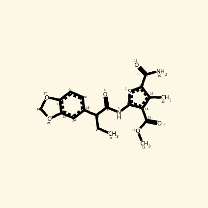 CCC(C(=O)Nc1sc(C(N)=O)c(C)c1C(=O)OC)c1ccc2c(c1)OCO2